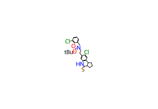 CC(C)(C)OC(=O)N(CCc1cc2c(cc1Cl)C1CCCC1C(=S)N2)Cc1cccc(Cl)c1